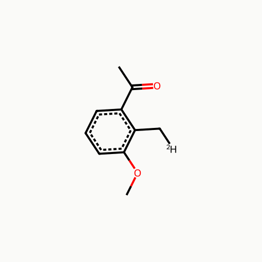 [2H]Cc1c(OC)cccc1C(C)=O